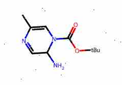 CC1=CN(C(=O)OC(C)(C)C)C(N)C=N1